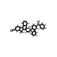 CC1(C)c2cc(C#N)ccc2-c2c1c1c(c3ccccc23)OC(c2ccccc2)(c2ccc(C(=O)c3ccccc3)cc2)C=C1